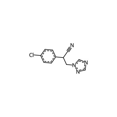 N#CC(Cn1cncn1)c1ccc(Cl)cc1